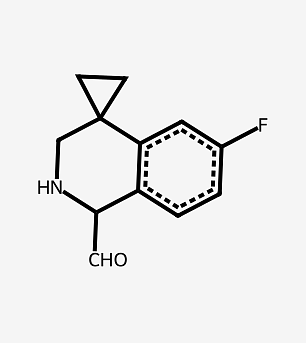 O=CC1NCC2(CC2)c2cc(F)ccc21